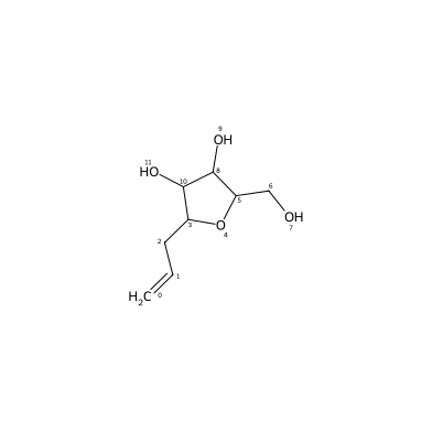 C=CCC1OC(CO)C(O)C1O